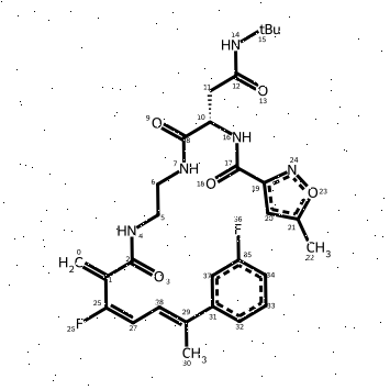 C=C(C(=O)NCCNC(=O)[C@H](CC(=O)NC(C)(C)C)NC(=O)c1cc(C)on1)/C(F)=C\C=C(/C)c1cccc(F)c1